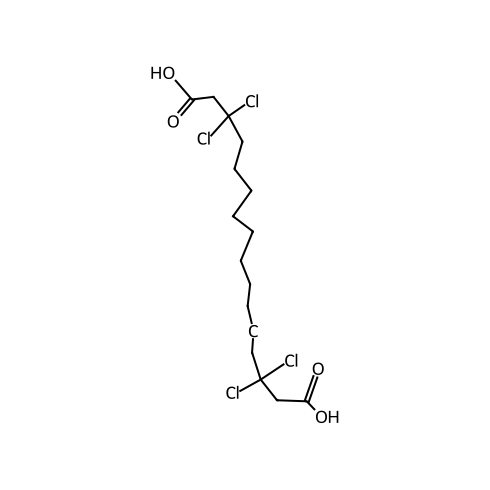 O=C(O)CC(Cl)(Cl)CCCCCCCCCCC(Cl)(Cl)CC(=O)O